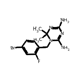 CC1(C)N=C(N)N=C(N)N1Cc1ccc(Br)cc1F